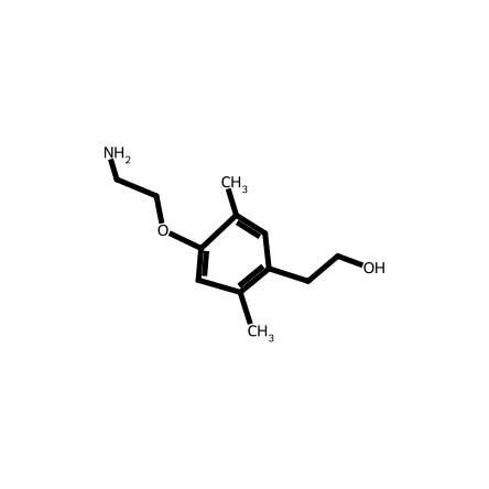 Cc1cc(OCCN)c(C)cc1CCO